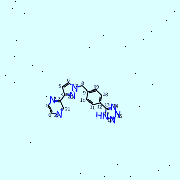 c1cnc(-c2ccn(Cc3ccc(-c4nnn[nH]4)cc3)n2)cn1